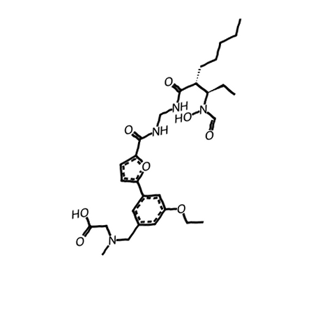 CCCCC[C@@H](C(=O)NCNC(=O)c1ccc(-c2cc(CN(C)CC(=O)O)cc(OCC)c2)o1)[C@@H](CC)N(O)C=O